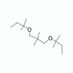 CCC(C)(C)OCC(C)(C)COC(C)(C)CC